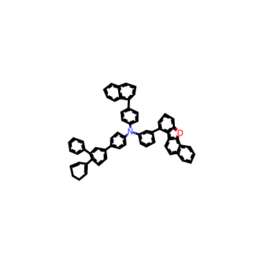 C1=CC(c2ccc(-c3ccc(N(c4ccc(-c5cccc6ccccc56)cc4)c4cccc(-c5cccc6oc7c8ccccc8ccc7c56)c4)cc3)cc2-c2ccccc2)=CCC1